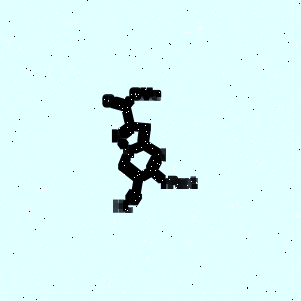 C#Cc1cn2nc(C(=O)OC)cc2nc1CCCCC